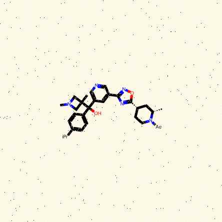 CC(=O)N1CC[C@H](c2nc(-c3cncc(C(O)(c4ccc(C(C)C)cc4)C4(C)CN(C)C4)c3)no2)C[C@@H]1C